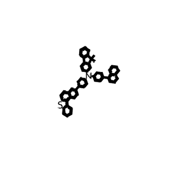 CC1(C)c2ccccc2-c2ccc(N(c3ccc(-c4ccc5c(ccc6sc7ccccc7c65)c4)cc3)c3ccc(-c4cccc5ccccc45)cc3)cc21